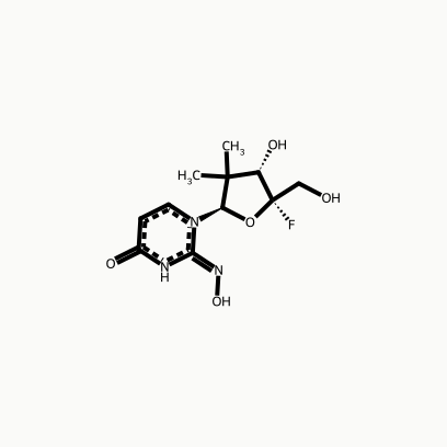 CC1(C)[C@H](n2ccc(=O)[nH]/c2=N\O)O[C@](F)(CO)[C@H]1O